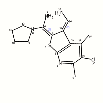 Cc1nc2sc(=C(/N)N3CCCC3)/c(=C\N)c2c(C)c1Cl